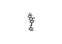 Cc1cccc(C#Cc2ccc3c(=O)n4c(nc3c2)CCC(C)(C)C4)c1